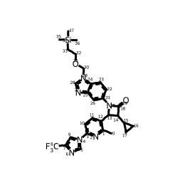 Cc1nc(-n2cnc(C(F)(F)F)c2)ccc1C1C(C2CC2)C(=O)N1c1ccc2c(c1)ncn2COCC[Si](C)(C)C